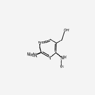 CCNc1nc(NC)ncc1CO